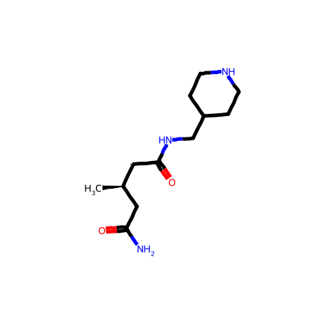 C[C@@H]([CH]C(=O)NCC1CCNCC1)CC(N)=O